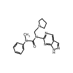 CN(C(=O)N(CN1CCCC1)c1ncc2cn[nH]c2n1)c1ccccc1